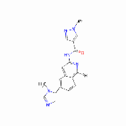 [2H]c1nc(NC(=O)c2cnn(C(C)C)c2)cc2cc(-c3cncn3C)ccc12